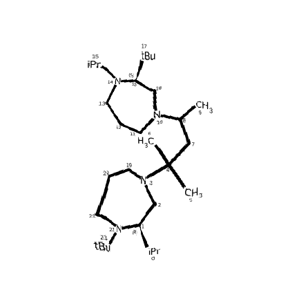 CC(C)[C@@H]1CN(C(C)(C)CC(C)N2CCCN(C(C)C)[C@@H](C(C)(C)C)C2)CCCN1C(C)(C)C